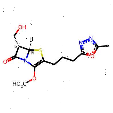 Cc1nnc(CCCC2=C(OC(=O)O)N3C(=O)[C@H](CO)[C@H]3S2)o1